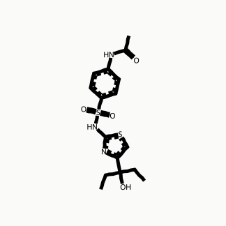 CCC(O)(CC)c1csc(NS(=O)(=O)c2ccc(NC(C)=O)cc2)n1